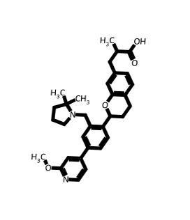 COc1cc(-c2ccc(C3CCc4ccc(CC(C)C(=O)O)cc4O3)c(CN3CCCC3(C)C)c2)ccn1